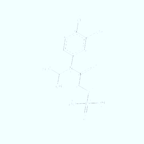 CC(C)N(C(=O)CSP(O)(O)=S)c1ccc(Cl)c(Cl)c1